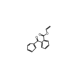 C=COC(=O)c1ccccc1C(=O)c1ccccc1